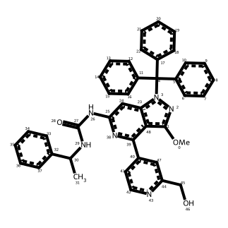 COc1nn(C(c2ccccc2)(c2ccccc2)c2ccccc2)c2cc(NC(=O)NC(C)c3ccccc3)nc(-c3ccnc(CO)c3)c12